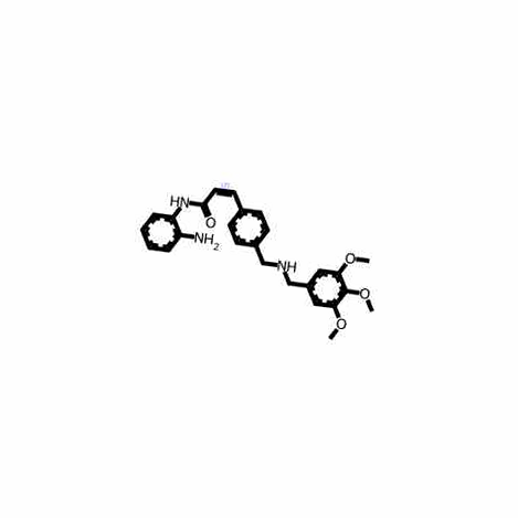 COc1cc(CNCc2ccc(/C=C\C(=O)Nc3ccccc3N)cc2)cc(OC)c1OC